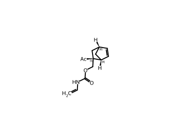 C=CNC(=O)OC[C@]1(C(C)=O)C[C@@H]2C=C[C@H]1C2